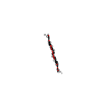 C=CC(=O)OCCCCOC(=O)Oc1ccc(C(=O)Oc2ccc(C(=O)O[C@H]3CCC4C3CC[C@H]4OC(=O)c3ccc(OC(=O)c4ccc(OC(=O)OCCCCOC(=O)C=C)cc4)cc3)cc2)cc1